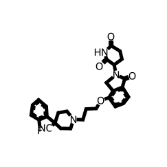 N#CC1(c2ccccc2F)CCN(CCCOc2cccc3c2CN(C2CCC(=O)NC2=O)C3=O)CC1